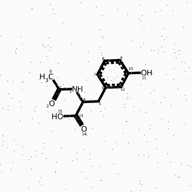 CC(=O)NC(Cc1cccc(O)c1)C(=O)O